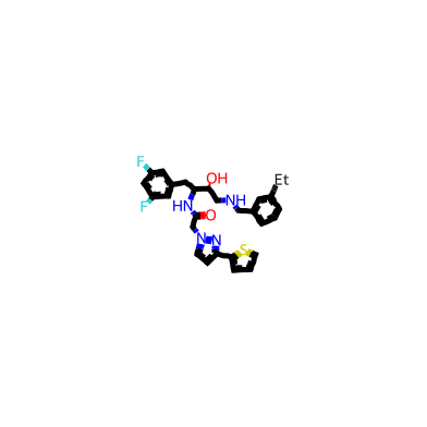 CCc1cccc(CNC[C@@H](O)C(Cc2cc(F)cc(F)c2)NC(=O)Cn2ccc(-c3cccs3)n2)c1